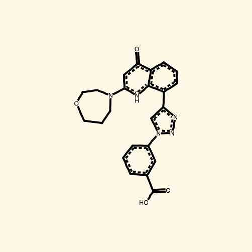 O=C(O)c1cccc(-n2cc(-c3cccc4c(=O)cc(N5CCCOCC5)[nH]c34)nn2)c1